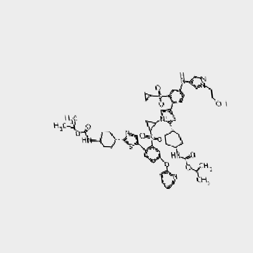 CC(C)OC(=O)N[C@H]1CC[C@H](c2ncc(-c3ccc(Oc4ccccn4)cc3S(=O)(=O)C3CC3[n+]3cc(-c4ccc(Nc5cnn(CCO)c5)cc4S(=O)(=O)C4CC4)sc3[C@H]3CC[C@H](NC(=O)OC(C)C)CC3)s2)CC1